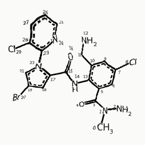 CN(N)C(=O)c1cc(Cl)cc(CN)c1NC(=O)c1cc(Br)cn1-c1ncccc1Cl